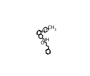 CN1CCN(c2cccc3c2CC(NC(=O)CCCc2ccccc2)CC3)CC1